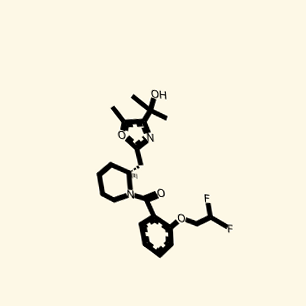 Cc1oc(C[C@H]2CCCCN2C(=O)c2ccccc2OCC(F)F)nc1C(C)(C)O